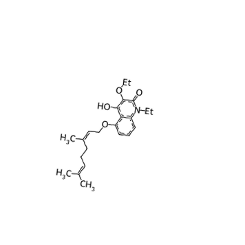 CCOc1c(O)c2c(OCC=C(C)CCC=C(C)C)cccc2n(CC)c1=O